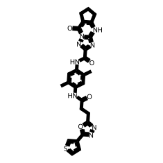 Cc1cc(NC(=O)c2nc3[nH]c4c(c(=O)n3n2)CCC4)c(C)cc1NC(=O)CCc1nnc(-c2ccsc2)o1